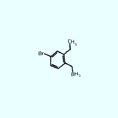 BCc1ccc(Br)cc1CC